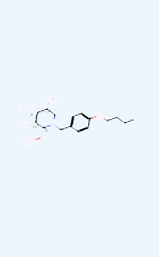 CCCCOc1ccc(CN2C[C@H](O)[C@@H](O)[C@H](O)[C@H]2CO)cc1